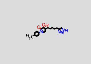 Cc1ccc(-n2ccc(CCCCCc3c[nH]nn3)c(O)c2=O)cc1